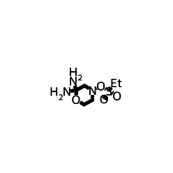 CCS(=O)(=O)ON1CCOC(N)(N)C1